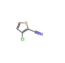 N#Cc1s[c]cc1Cl